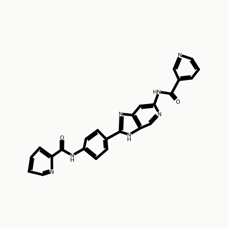 O=C(Nc1cc2nc(-c3ccc(NC(=O)c4ccccn4)cc3)[nH]c2cn1)c1cccnc1